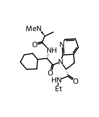 CCNC(=O)[C@H]1Cc2cccnc2N1C(=O)[C@@H](NC(=O)[C@H](C)NC)C1CCCCC1